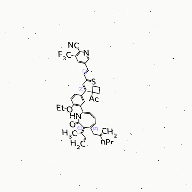 C=C/C(C)=C1C(=O)NC(c2cc(/C(=C/C(=S)/C=C/c3cnc(C#N)c(C(F)(F)F)c3)C3(C(C)=O)CCC3)ccc2OCC)=C=C\C=C/1CC(=C)CCC